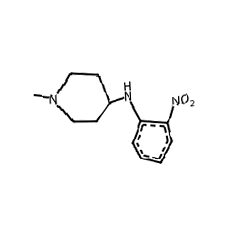 CN1CCC(Nc2ccccc2[N+](=O)[O-])CC1